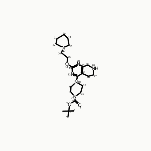 CC(C)(C)OC(=O)N1CCN(c2nc(OCCN3CCCCC3)nc3c2CCNC3)CC1